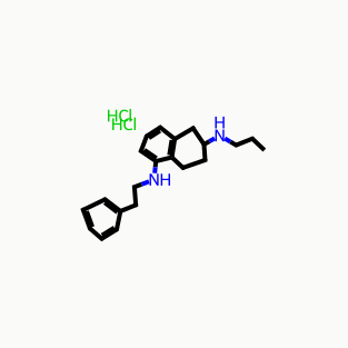 CCCNC1CCc2c(cccc2NCCc2ccccc2)C1.Cl.Cl